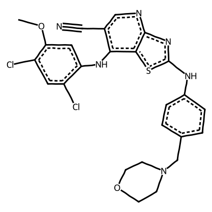 COc1cc(Nc2c(C#N)cnc3nc(Nc4ccc(CN5CCOCC5)cc4)sc23)c(Cl)cc1Cl